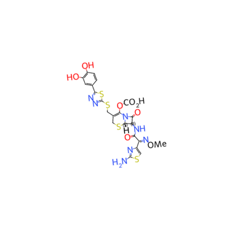 CON=C(C(=O)N[C@@H]1C(=O)N2C(OC(=O)O)=C(CSc3nnc(-c4ccc(O)c(O)c4)s3)CS[C@@H]12)c1csc(N)n1